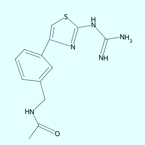 CC(=O)NCc1cccc(-c2csc(NC(=N)N)n2)c1